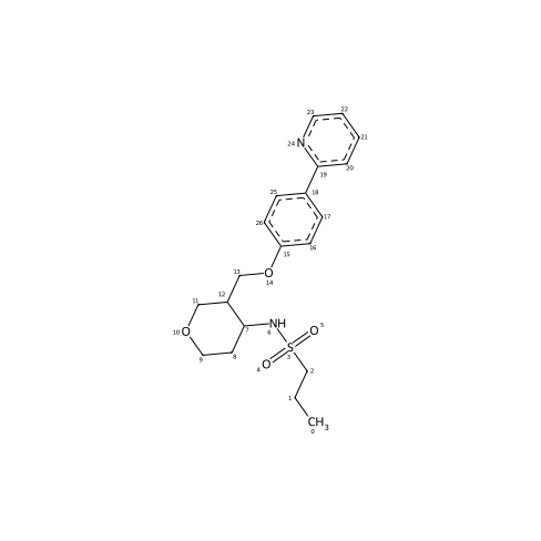 CCCS(=O)(=O)NC1CCOCC1COc1ccc(-c2ccccn2)cc1